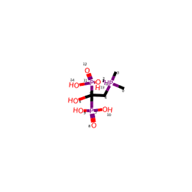 C[PH](C)(C)CC(O)(P(=O)(O)O)P(=O)(O)O